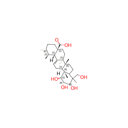 C[C@H]1[C@H](C)CC[C@]2(C(=O)O)CC[C@]3(C)C(=CC[C@@H]4[C@]5(C)C(CC[C@]43C)C(C)(CO)[C@H](O)[C@H](O)[C@H]5O)[C@H]12